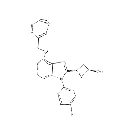 O[C@H]1C[C@@H](c2cc3c(OCc4ccccc4)cccc3n2-c2ccc(F)cc2)C1